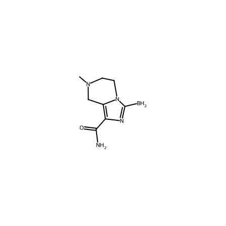 Bc1nc(C(N)=O)c2n1CCN(C)C2